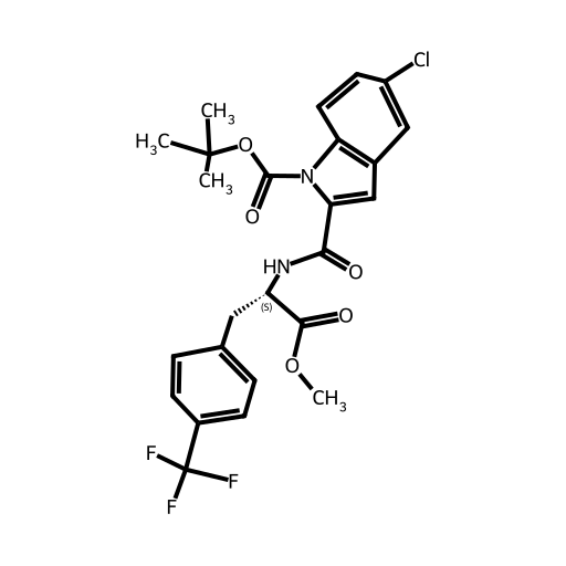 COC(=O)[C@H](Cc1ccc(C(F)(F)F)cc1)NC(=O)c1cc2cc(Cl)ccc2n1C(=O)OC(C)(C)C